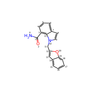 NC(=O)c1cccc2ccn(Cc3cc4ccccc4o3)c12